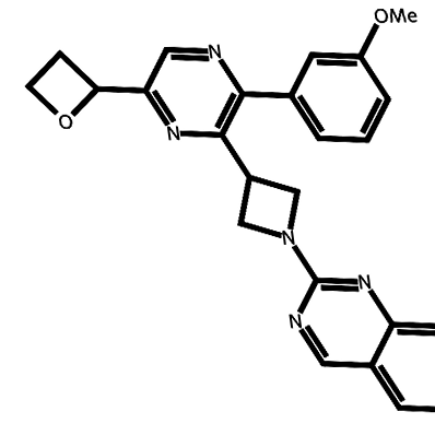 COc1cccc(-c2ncc(C3CCO3)nc2C2CN(c3ncc4ccccc4n3)C2)c1